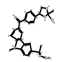 CC(=O)O/N=C(\C)c1ccc2c(c1)c1cc(C(=O)c3ccc(C4COC(C)(Cl)O4)cc3)ccc1n2C